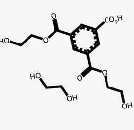 O=C(O)c1cc(C(=O)OCCO)cc(C(=O)OCCO)c1.OCCO